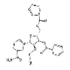 C#CCO[C@@H]1[C@H](OC(=O)c2ccccc2)[C@@H](COC(=O)c2ccccc2)O[C@H]1[n+]1cccc(C(N)=O)c1